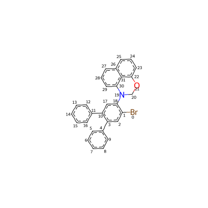 Brc1cc(-c2ccccc2)c(-c2ccccc2)cc1N1COc2cccc3cccc1c23